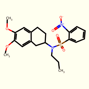 CCCN(C1CCc2cc(OC)c(OC)cc2C1)S(=O)(=O)c1ccccc1[N+](=O)[O-]